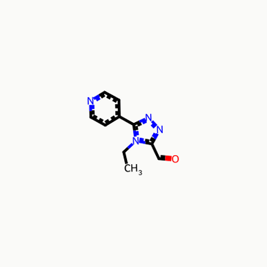 CCn1c(C=O)nnc1-c1ccncc1